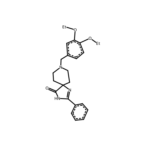 CCOc1ccc(CN2CCC3(CC2)N=C(c2ccccc2)NC3=O)cc1OCC